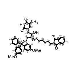 COc1ccc(C(OC[C@H]2O[C@@H](n3cc(C)c(=O)[nH]c3=O)[C@H](O)[C@@H]2OCCCCCCN2C(=O)c3ccccc3C2=O)(c2ccccc2)c2ccc(OC)cc2)cc1